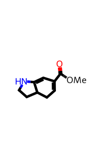 COC(=O)C1=CCC2CCNC2=C1